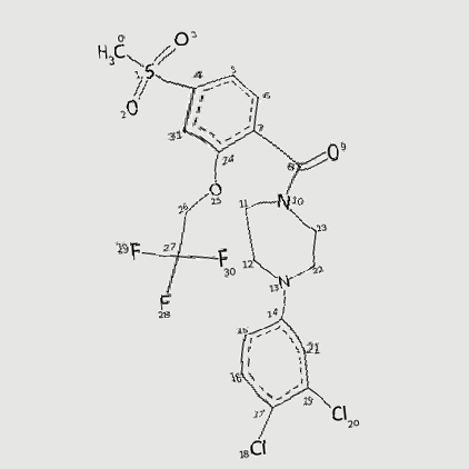 CS(=O)(=O)c1ccc(C(=O)N2CCN(c3ccc(Cl)c(Cl)c3)CC2)c(OCC(F)(F)F)c1